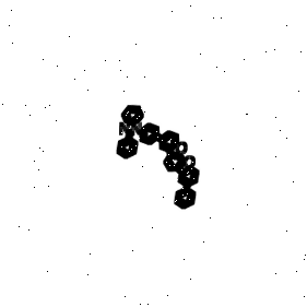 c1ccc(-c2ccc3oc4c(ccc5c6cc(-c7ccc(-n8c(-c9ccccc9)nc9ccccc98)cc7)ccc6oc54)c3c2)cc1